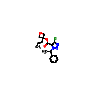 C/C=C/C1(OC(=O)c2c(Cl)nnn2[C@H](C)c2ccccc2)COC1